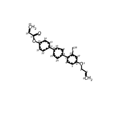 C=CCOc1ccc(-c2ccc(-c3ccc(OC(=O)C=C)cc3)cc2)c(F)c1